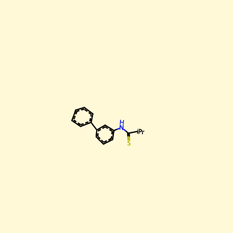 CC(C)C(=S)Nc1cccc(-c2ccccc2)c1